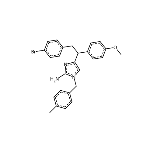 COc1ccc(C(Cc2ccc(Br)cc2)c2cn(Cc3ccc(C)cc3)c(N)n2)cc1